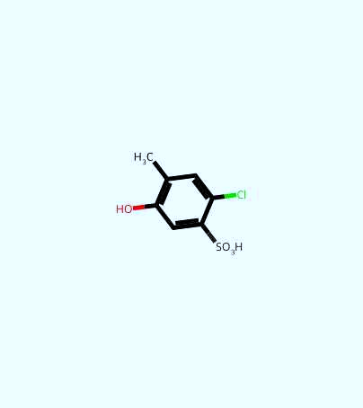 Cc1cc(Cl)c(S(=O)(=O)O)cc1O